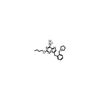 CCCCOc1nc(N)c2ncc(Cc3ccccc3CN3CCCC3)n2n1